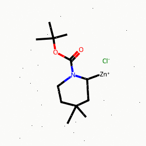 CC1(C)CCN(C(=O)OC(C)(C)C)[CH]([Zn+])C1.[Cl-]